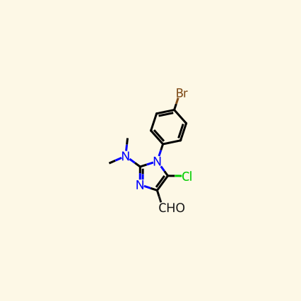 CN(C)c1nc(C=O)c(Cl)n1-c1ccc(Br)cc1